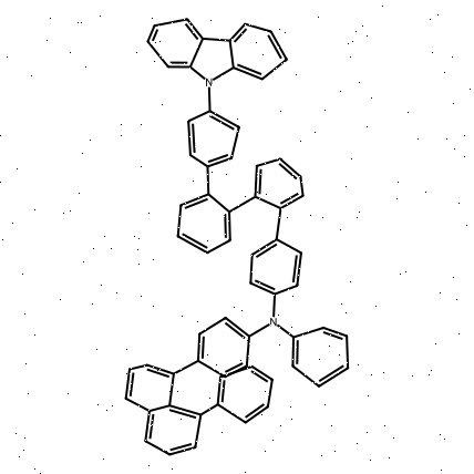 c1ccc(-c2cccc3cccc(-c4ccc(N(c5ccccc5)c5ccc(-c6ccccc6-c6ccccc6-c6ccc(-n7c8ccccc8c8ccccc87)cc6)cc5)cc4)c23)cc1